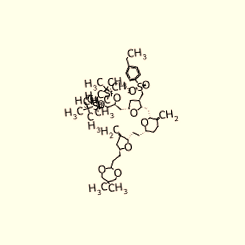 C=C1C[C@H](CCC2OCC(C)(C)CO2)O[C@H]1CC[C@H]1CCC(=C)[C@@H](C[C@@H]2O[C@H](C[C@@H](CO[Si](C)(C)C(C)(C)C)O[Si](C)(C)C(C)(C)C)C[C@H]2CS(=O)(=O)c2ccc(CC)cc2)O1